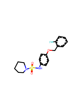 O=S(=O)(Nc1ccc(OCc2ccccc2F)cc1)N1CCCCC1